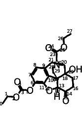 CCOC(=O)Oc1ccc2c3c1O[C@H]1C(=O)CCC4(O)C(C2)N(C(=O)OCC)CC[C@]314